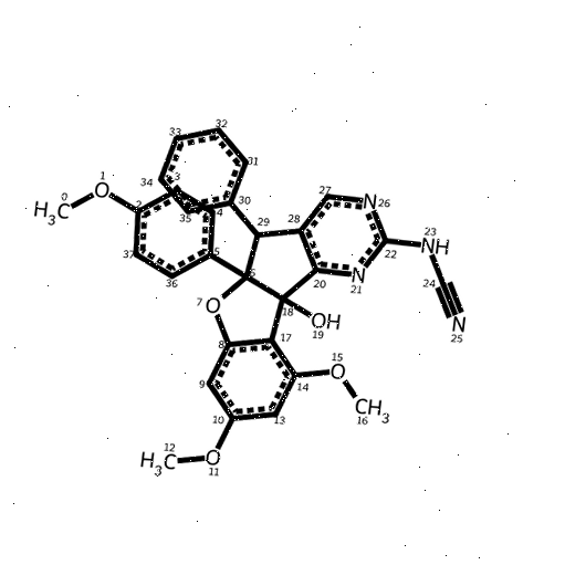 COc1ccc(C23Oc4cc(OC)cc(OC)c4C2(O)c2nc(NC#N)ncc2C3c2ccccc2)cc1